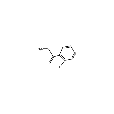 COC(=O)c1ccn[c]c1F